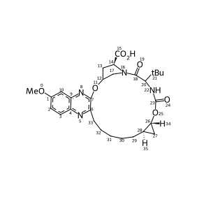 COc1ccc2nc3c(nc2c1)OC1C[C@@H](C(=O)O)N(C1)C(=O)C(C(C)(C)C)NC(=O)O[C@@H]1C[C@H]1CCCCC3